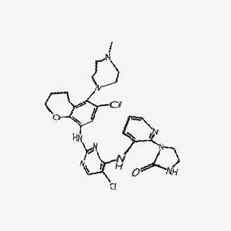 CN1CCN(c2c(Cl)cc(Nc3ncc(Cl)c(Nc4cccnc4N4CCNC4=O)n3)c3c2CCCO3)CC1